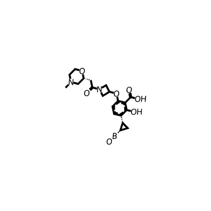 CN1CCO[C@H](CC(=O)N2CC(Oc3ccc([C@@H]4C[C@@H]4B=O)c(O)c3C(=O)O)C2)C1